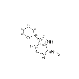 NC1NCNC2=C1NCN2C1CCCCO1